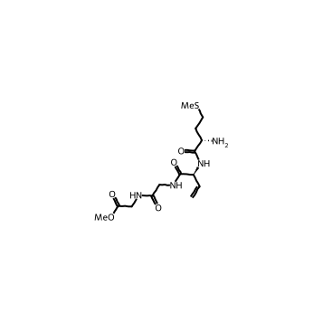 C=C[C@H](NC(=O)[C@@H](N)CCSC)C(=O)NCC(=O)NCC(=O)OC